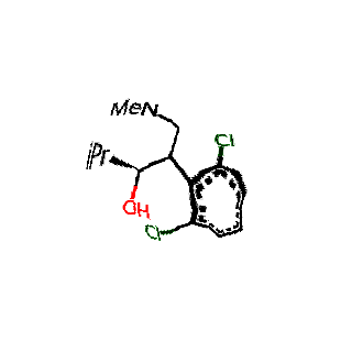 CNCC(c1c(Cl)cccc1Cl)[C@@H](O)C(C)C